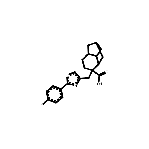 O=C(O)C1(Cc2coc(-c3ccc(F)cc3)n2)CCC2CC3CC2C1C3